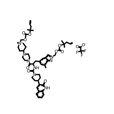 C=CCC(C)(C)OC(=O)OCn1cc2cc(CC(NC(=O)N3CCC(c4cc5ccccc5[nH]c4=O)CC3)C(=O)N3CCN(C4CC[N+](C)(COC(=O)OC(C)(C)CC=C)CC4)CC3)cc(C)c2n1.O=C([O-])C(F)(F)F